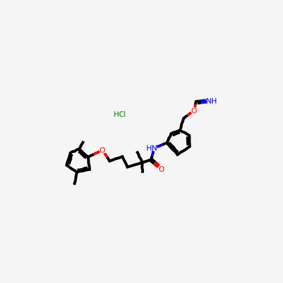 Cc1ccc(C)c(OCCCC(C)(C)C(=O)Nc2cccc(COC=N)c2)c1.Cl